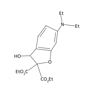 CCOC(=O)C1(C(=O)OCC)Oc2cc(N(CC)CC)ccc2C1O